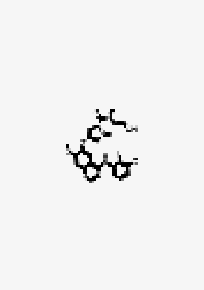 COc1cc2ncnc(Nc3cccc(Cl)c3F)c2cc1O[C@@H]1C[C@@H](C(=O)N(C)CCO)N(C)C1